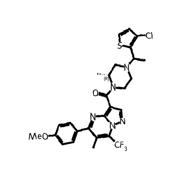 COc1ccc(-c2nc3c(C(=O)N4CCN(C(C)c5sccc5Cl)C[C@H]4C)cnn3c(C(F)(F)F)c2C)cc1